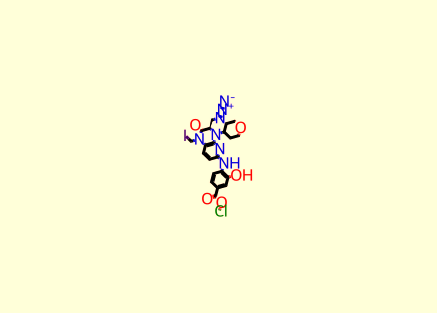 [N-]=[N+]=NC[C@@H]1C(=O)N(CI)c2ccc(Nc3ccc(C(=O)OCl)cc3O)nc2N1C1CCOCC1